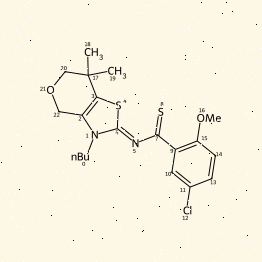 CCCCn1c2c(s/c1=N\C(=S)c1cc(Cl)ccc1OC)C(C)(C)COC2